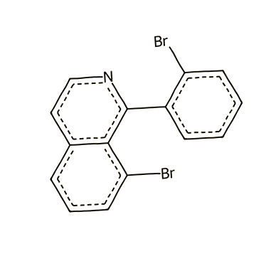 Brc1ccccc1-c1nccc2cccc(Br)c12